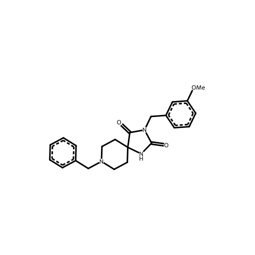 COc1cccc(CN2C(=O)NC3(CCN(Cc4ccccc4)CC3)C2=O)c1